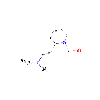 CN(C)CCC1CCCCN1[C]=O